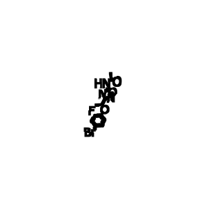 CC(=O)Nc1nc(C(C)Oc2ccc(Br)cc2F)no1